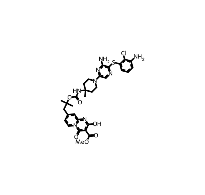 COC(=O)c1c(O)nc2cc(CC(C)(C)OC(=O)NC3(C)CCN(c4cnc(Sc5cccc(N)c5Cl)c(N)n4)CC3)ccn2c1=O